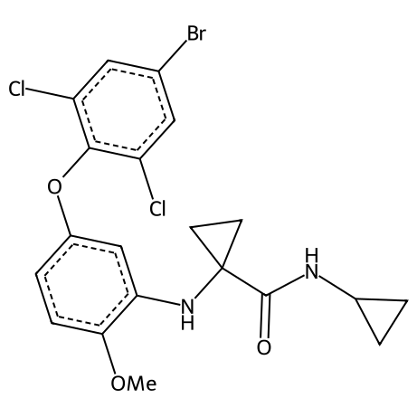 COc1ccc(Oc2c(Cl)cc(Br)cc2Cl)cc1NC1(C(=O)NC2CC2)CC1